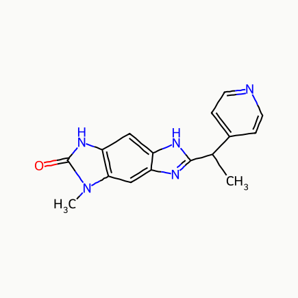 CC(c1ccncc1)c1nc2cc3c(cc2[nH]1)[nH]c(=O)n3C